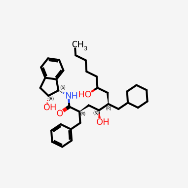 CCCCCC(O)C[C@@H](CC1CCCCC1)[C@@H](O)C[C@@H](Cc1ccccc1)C(=O)N[C@H]1c2ccccc2C[C@H]1O